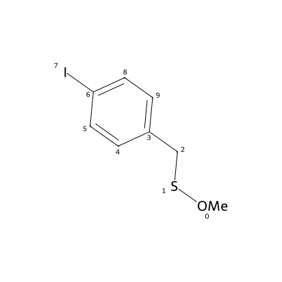 COSCc1ccc(I)cc1